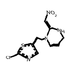 O=[N+]([O-])C=C1NCCCN1Cc1cnc(Cl)s1